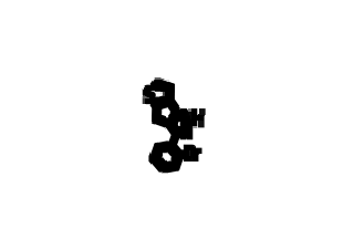 Brc1ccccc1-c1n[nH]c2c1Cc1sccc1-2